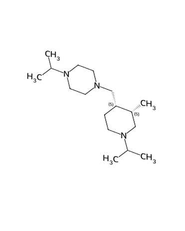 CC(C)N1CCN(C[C@H]2CCN(C(C)C)C[C@H]2C)CC1